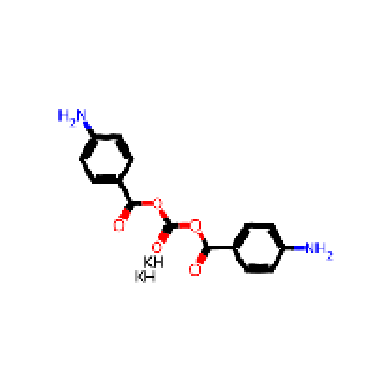 Nc1ccc(C(=O)OC(=O)OC(=O)c2ccc(N)cc2)cc1.[KH].[KH]